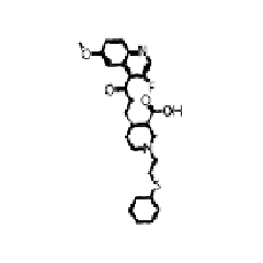 COc1ccc2ncc(F)c(C(=O)CC[C@@H]3CCN(CCSC4CCCCC4)C[C@@H]3C(=O)O)c2c1